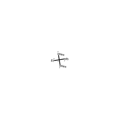 [CH2]CC(CCC)(CCCCCC)CCCCCC